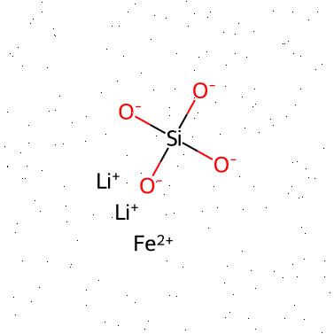 [Fe+2].[Li+].[Li+].[O-][Si]([O-])([O-])[O-]